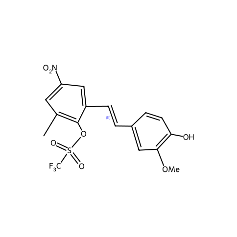 COc1cc(/C=C/c2cc([N+](=O)[O-])cc(C)c2OS(=O)(=O)C(F)(F)F)ccc1O